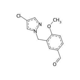 COc1ccc(C=O)cc1Cn1cc(Cl)cn1